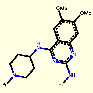 CCNc1nc(NC2CCN(C(C)C)CC2)c2cc(OC)c(OC)cc2n1